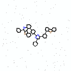 C1=CC(c2cc(-c3cccc(-c4cccc5c4sc4ccccc45)c3)nc(-c3ccc(-c4cccc5nc(-c6ccccc6)c6sc7ccccc7c6c45)cc3)n2)=CCC1